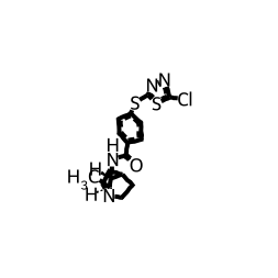 C[C@H]1[C@H](NC(=O)c2ccc(Sc3nnc(Cl)s3)cc2)C2CCN1CC2